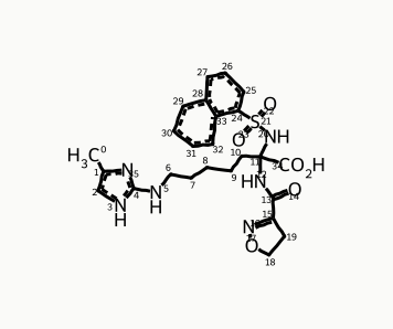 Cc1c[nH]c(NCCCCCC(NC(=O)C2=NOCC2)(NS(=O)(=O)c2cccc3ccccc23)C(=O)O)n1